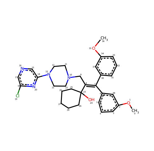 COc1cccc(C(=C(CN2CCN(c3cncc(Cl)n3)CC2)C2(O)CCCCC2)c2cccc(OC)c2)c1